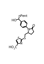 CCCCCC(O)c1ccc(N2C(=O)CCC2CSc2nc(C(=O)O)cs2)cc1